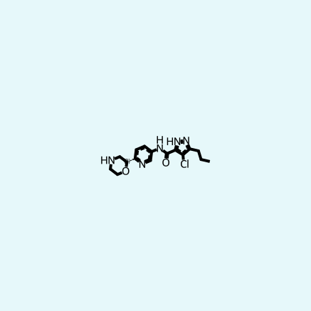 CCCc1n[nH]c(C(=O)Nc2ccc([C@H]3CNCCO3)nc2)c1Cl